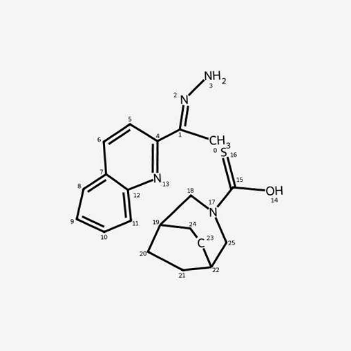 CC(=NN)c1ccc2ccccc2n1.OC(=S)N1CC2CCC(CC2)C1